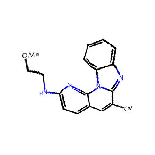 COCCNc1ccc2cc(C#N)c3nc4ccccc4n3c2n1